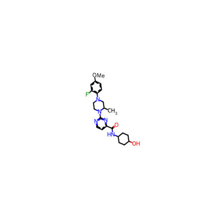 COc1ccc(N2CCN(c3nccc(C(=O)NC4CCC(O)CC4)n3)C(C)C2)c(F)c1